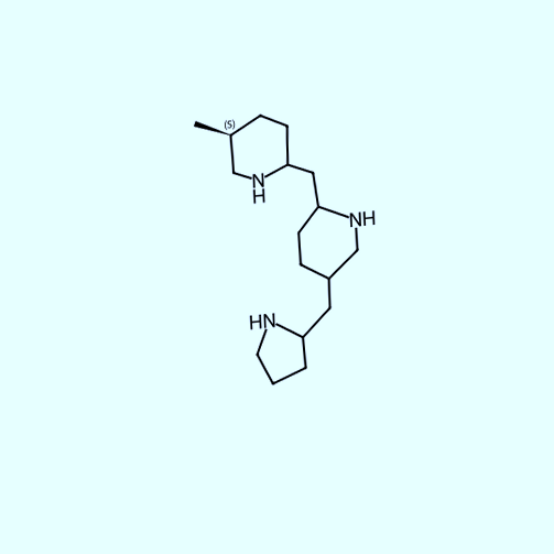 C[C@H]1CCC(CC2CCC(CC3CCCN3)CN2)NC1